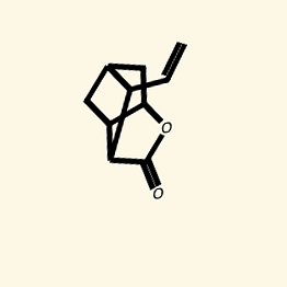 C=CC1C2CC3OC(=O)C1C3C2